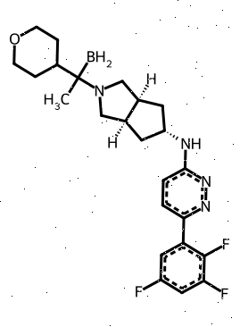 BC(C)(C1CCOCC1)N1C[C@H]2C[C@H](Nc3ccc(-c4cc(F)cc(F)c4F)nn3)C[C@H]2C1